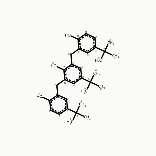 CC(C)(C)c1ccc(O)c(Cc2cc(C(C)(C)C)cc(Cc3cc(C(C)(C)C)ccc3O)c2O)c1